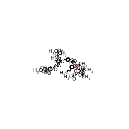 CCCc1ccc(OS(=O)(=O)Oc2ccc(COc3nc(NC(=O)OC(C)(C)C)nc4c3ncn4CC(=O)N3CCN(C(=O)OC(C)(C)C)C(=O)C3)cc2)c(OC2O[C@H](COC(C)=O)[C@H](OC(C)=O)[C@H](OC(C)=O)[C@H]2OC(C)=O)c1